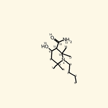 CCCCN1C(C)(C)CC(O)C(C(N)=O)C1(C)C